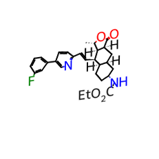 CCOC(=O)N[C@@H]1CC[C@@H]2[C@H](C1)C[C@@H]1C(=O)O[C@@H](C)[C@@H]1[C@@H]2/C=C/c1ccc(-c2cccc(F)c2)cn1